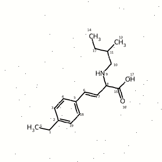 CCc1ccc(/C=C/C(NCC(C)CC)C(=O)O)cc1